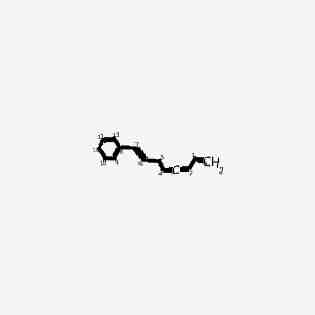 C=CC=C=CCC=Cc1ccccc1